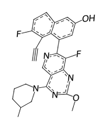 C#Cc1c(F)ccc2cc(O)cc(-c3ncc4c(N5CCCC(C)C5)nc(OC)nc4c3F)c12